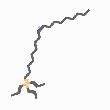 CC=C[PH](C=CC)(C=CC)CCCCCCCC/C=C\CCCCCCCC